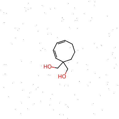 OCC1(CO)/C=C\C=C/CCC1